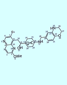 COc1ccc2ncc(F)c(C[C@H](O)C34CCC(NCc5ccc6c(c5)NCCO6)(CC3)CO4)c2n1